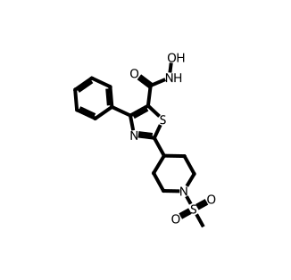 CS(=O)(=O)N1CCC(c2nc(-c3ccccc3)c(C(=O)NO)s2)CC1